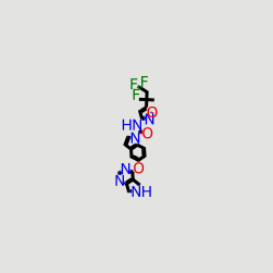 CC(C)(CC(F)(F)F)c1cc(NC(=O)n2ccc3cc(Oc4ncnc5c4CNC5)ccc32)no1